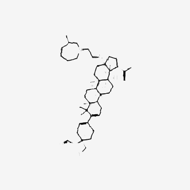 C=C(C)[C@@H]1CC[C@]2(NCCN3CCCCC(C)C3)CC[C@]3(C)[C@H](CC[C@@H]4[C@@]5(C)CC=C(C6=CC[C@@](CF)(OC=O)CC6)C(C)(C)[C@@H]5CC[C@]43C)[C@@H]12